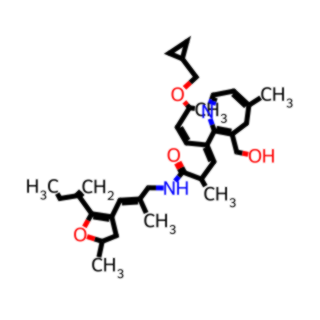 C=C(CC)C1=C(/C=C(\C)CNC(=O)C(C)/C=C(\C=C/C(C)OCC2CC2)C2=C(CO)CC(C)=CC=N2)CC(C)O1